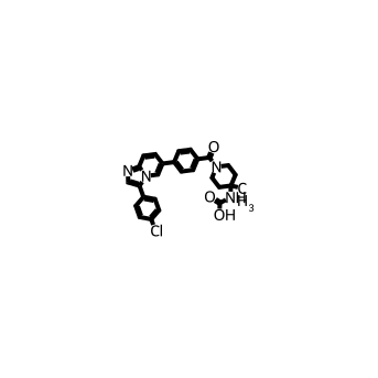 CC1(NC(=O)O)CCN(C(=O)c2ccc(-c3ccc4ncc(-c5ccc(Cl)cc5)n4c3)cc2)CC1